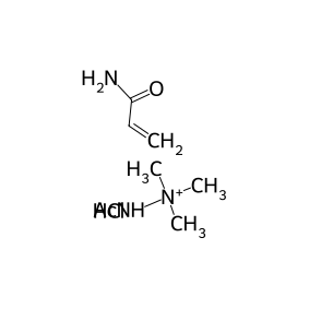 C=CC(N)=O.CC(=O)N[N+](C)(C)C.Cl